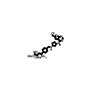 CO/C(N)=C(/C=C(\N)c1ccc(CN[C@H]2CC[C@@H](N(C)c3ncnc4sc(CC(F)(F)F)cc34)C2)cc1)OC